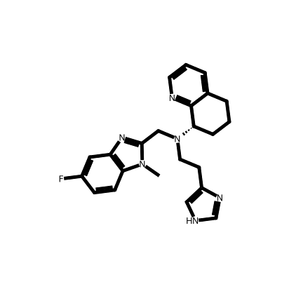 Cn1c(CN(CCc2c[nH]cn2)[C@H]2CCCc3cccnc32)nc2cc(F)ccc21